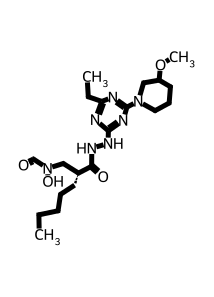 CCCCC[C@H](CN(O)C=O)C(=O)NNc1nc(CC)nc(N2CCCC(OC)C2)n1